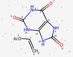 C=COC(C)=O.O=c1[nH]c(=O)c2[nH]c(=O)[nH]c2[nH]1